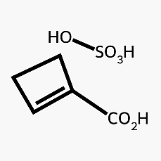 O=C(O)C1=CCC1.O=S(=O)(O)O